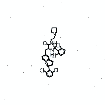 O=C(NC(Cc1ccc2nc(-c3c(Cl)cccc3Cl)ccc2c1)C(=O)NCCN1CCCC1)c1c(Cl)cccc1Cl